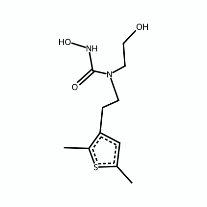 Cc1cc(CCN(CCO)C(=O)NO)c(C)s1